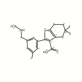 Cc1cc(CNN)cc(-c2sc3c(c2C(=O)O)CC(C)(C)CC3)c1